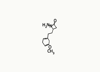 COC1=CCC=C(CCC2CC(=O)N2N)C1